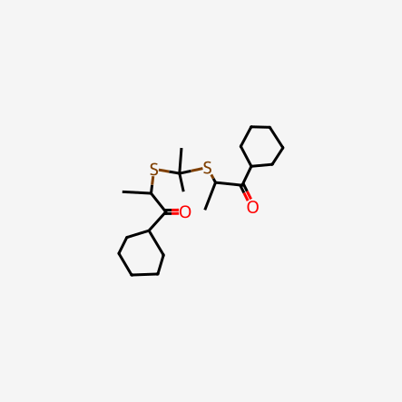 CC(SC(C)(C)SC(C)C(=O)C1CCCCC1)C(=O)C1CCCCC1